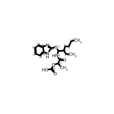 CCCCC(CC)C(NC(=O)C(C)OC(=O)O)Sc1nc2ccccc2[nH]1